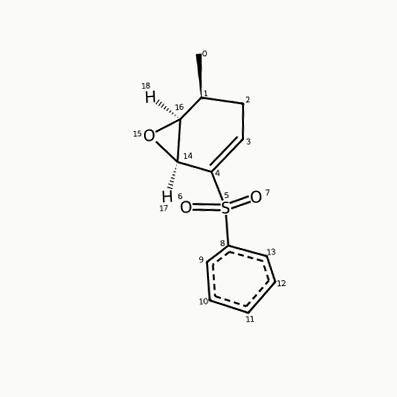 C[C@H]1CC=C(S(=O)(=O)c2ccccc2)[C@H]2O[C@H]21